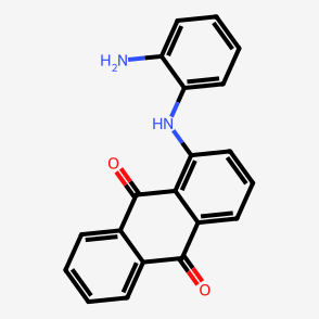 Nc1ccccc1Nc1cccc2c1C(=O)c1ccccc1C2=O